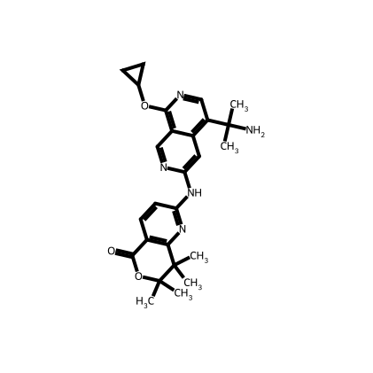 CC(C)(N)c1cnc(OC2CC2)c2cnc(Nc3ccc4c(n3)C(C)(C)C(C)(C)OC4=O)cc12